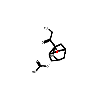 CC(C)(C)C(=O)O[C@H]1C2CC3CC(N2)C1N(C(=O)CC(F)(F)F)C3